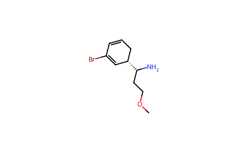 COCCC(N)[C@@H]1C=C(Br)C=CC1